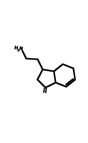 NCCC1CNC2C=CCCC12